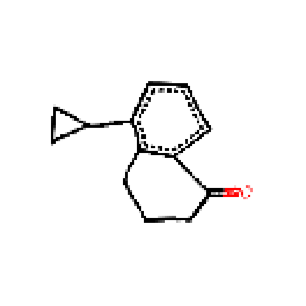 O=C1CCCc2c1cccc2C1CC1